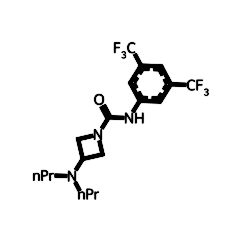 CCCN(CCC)C1CN(C(=O)Nc2cc(C(F)(F)F)cc(C(F)(F)F)c2)C1